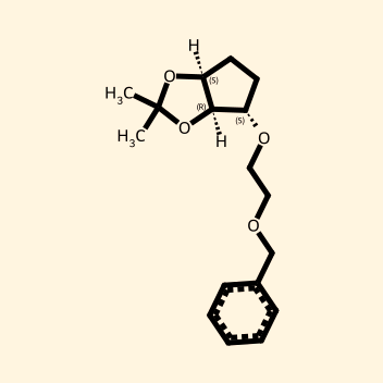 CC1(C)O[C@@H]2[C@@H](OCCOCc3ccccc3)CC[C@@H]2O1